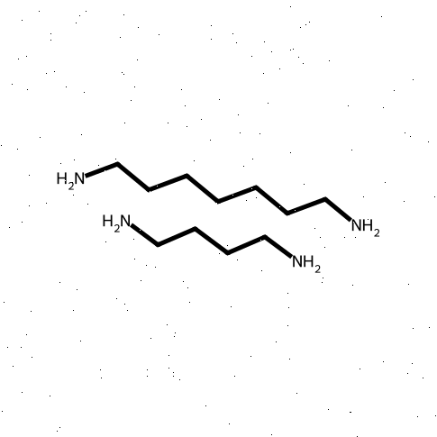 NCCCCCCCN.NCCCCN